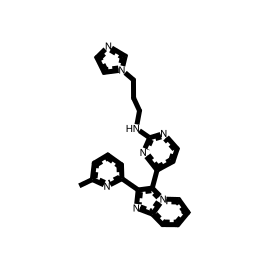 Cc1cccc(-c2nc3ccccn3c2-c2ccnc(NCCCn3ccnc3)n2)n1